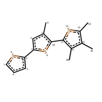 Cc1cc(-c2cccs2)sc1-c1sc(C)c(C)c1C